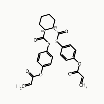 C=CC(=O)Oc1ccc(SC(=O)[C@H]2CCCC[C@@H]2C(=O)Sc2ccc(OC(=O)C=C)cc2)cc1